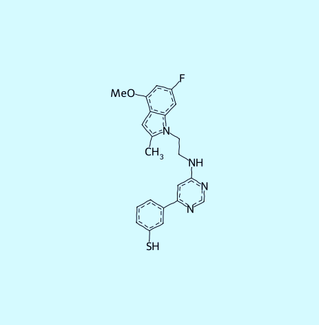 COc1cc(F)cc2c1cc(C)n2CCNc1cc(-c2cccc(S)c2)ncn1